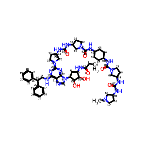 CCC(=O)NC1CC(n2cnc3c(NCC(c4ccccc4)c4ccccc4)nc(N4CC[C@@H](NC(=O)NC5CCN(C(=O)NC6CCC(NC(=O)N7CCC(NC(=O)NC8CCN(C)C8)C7)CC6)C5)C4)nc32)[C@H](O)[C@@H]1O